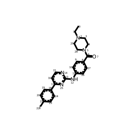 CCN1CCN(C(=O)c2ccc(Nc3nccc(-c4ccc(I)cc4)n3)cc2)CC1